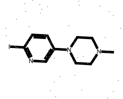 CN1CCN(c2ccc(I)nc2)CC1